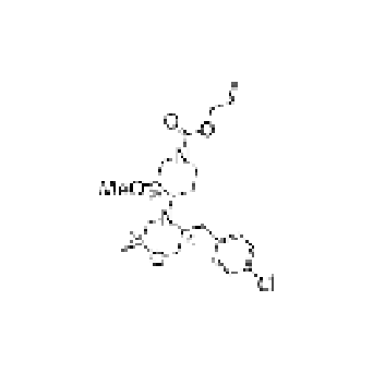 C=CCOC(=O)N1CCC(N2C[C@H](C)OC[C@@H]2Cc2ccc(Cl)cc2)[C@@H](OC)C1